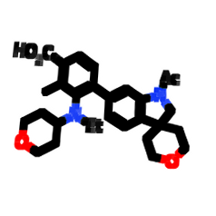 CCN(c1c(-c2ccc3c(c2)N(C(C)=O)CC32CCOCC2)ccc(C(=O)O)c1C)C1CCOCC1